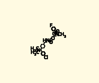 CN(C)C(c1ccc(Cl)cc1)C1CCC(CCNC(=O)COCCN(C)S(=O)(=O)c2ccc(F)cc2)CC1